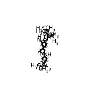 CC(C)C[C@@](C)(COc1ccc(-c2ccnc(NC3CCN(C(=O)OC(C)(C)C)CC3)c2)cc1C#N)NC(=O)OC(C)(C)C